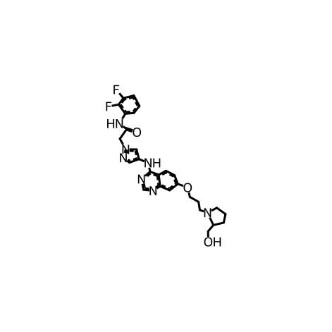 O=C(Cn1cc(Nc2ncnc3cc(OCCCN4CCCC4CO)ccc23)cn1)Nc1cccc(F)c1F